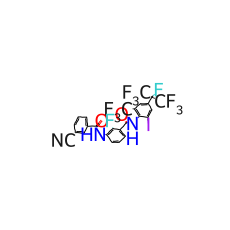 N#Cc1cccc(C(=O)Nc2cccc(C(=O)Nc3c(I)cc(C(F)(C(F)(F)F)C(F)(F)F)cc3C(F)(F)F)c2F)c1